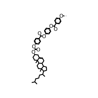 [CH2]Oc1ccc(C(=O)Oc2ccc(OC(=O)c3ccc(OC(=O)OC4CCC5(C)C(=CCC6C5CCC5(C)C(C(C)CCCC(C)C)CCC65)C4)cc3)cc2)cc1